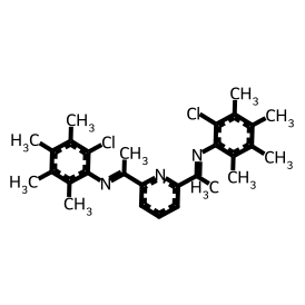 CC(=Nc1c(C)c(C)c(C)c(C)c1Cl)c1cccc(C(C)=Nc2c(C)c(C)c(C)c(C)c2Cl)n1